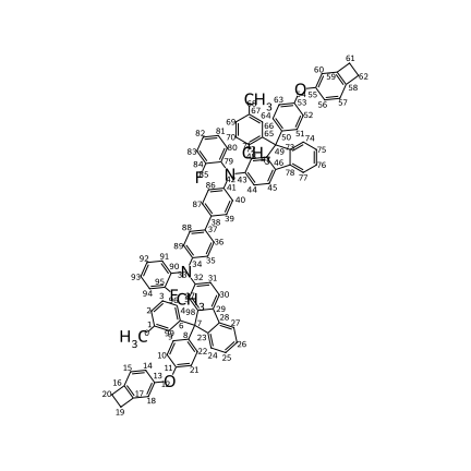 Cc1ccc(C)c(C2(c3ccc(Oc4ccc5c(c4)CC5)cc3)c3ccccc3-c3ccc(N(c4ccc(-c5ccc(N(c6ccc7c(c6)C(c6ccc(Oc8ccc9c(c8)CC9)cc6)(c6cc(C)ccc6C)c6ccccc6-7)c6ccccc6F)cc5)cc4)c4ccccc4F)cc32)c1